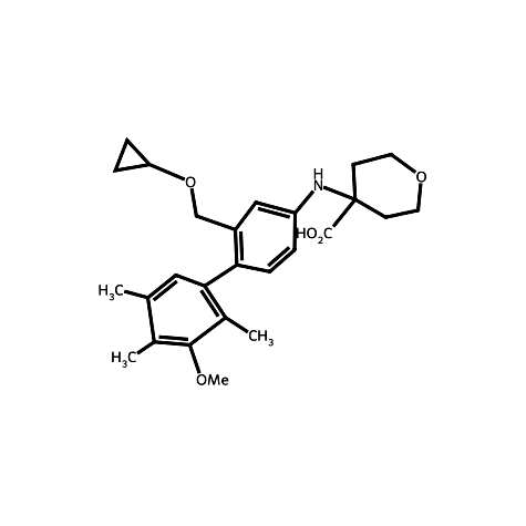 COc1c(C)c(C)cc(-c2ccc(NC3(C(=O)O)CCOCC3)cc2COC2CC2)c1C